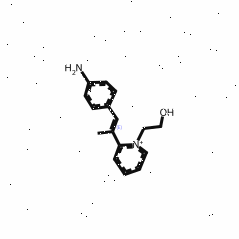 C/C(=C\c1ccc(N)cc1)c1cccc[n+]1CCO